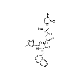 Cc1cc(C(=O)N[C@@H](Cc2cccc3ccccc23)C(=O)NC(C=O)CN[C@H](C#N)C[C@@H]2CCNC2=O)no1